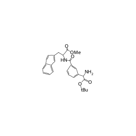 COC(=O)C(Cc1ccc2ccccc2c1)NC(=O)c1cccc(C(N)C(=O)OC(C)(C)C)c1